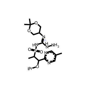 Cc1cnc(C(OC(C)C)C(C)S(=O)(=O)N/C(=N\C2COC(C)(C)OC2)NN)nc1